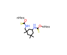 CCCCCCOC(=S)NCC1(C)CC(NC(=S)OCCCCCC)CC(C)(C)C1